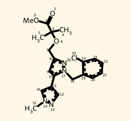 COC(=O)C(C)(C)OCc1cc(-c2cnn(C)c2)n(Cc2ccccc2Cl)n1